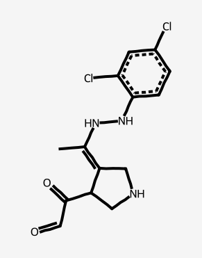 CC(NNc1ccc(Cl)cc1Cl)=C1CNCC1C(=O)C=O